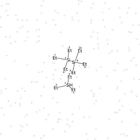 CC[SiH](CC)CC.CC[Si](CC)(CC)[Si](CC)(CC)CC